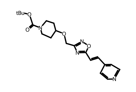 CC(C)(C)OC(=O)N1CCC(OCc2noc(/C=C/c3ccncc3)n2)CC1